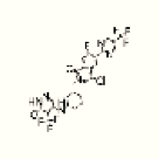 O=c1[nH]ncc(N[C@H]2CCC[C@@H](Cn3cc(Cl)c4cc(-c5ncc(C(F)(F)F)cn5)c(F)cc4c3=O)C2)c1C(F)(F)F